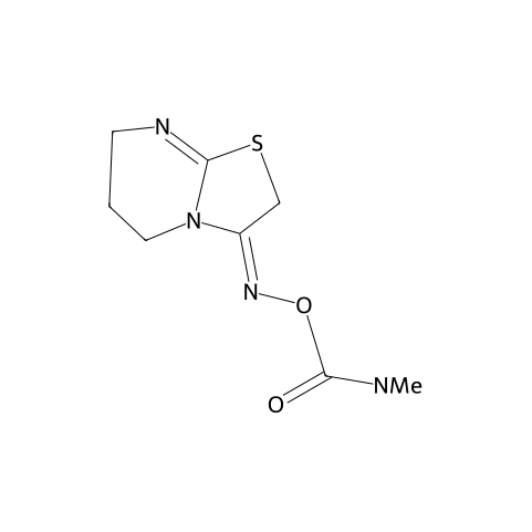 CNC(=O)ON=C1CSC2=NCCCN12